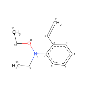 C=Cc1ccccc1N(CC)OCC